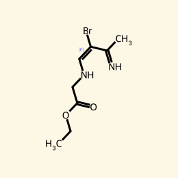 CCOC(=O)CN/C=C(/Br)C(C)=N